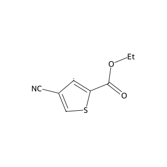 CCOC(=O)c1[c]c(C#N)cs1